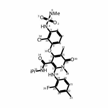 CNS(=O)(=O)Nc1cccc(Oc2c(C(=O)NC(C)C)c(Nc3ccc(C)cc3F)n(C)c(=O)c2C)c1Cl